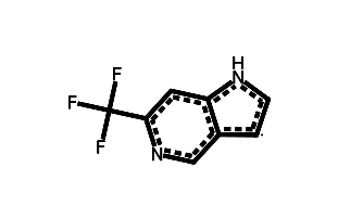 FC(F)(F)c1cc2[nH]c[c]c2cn1